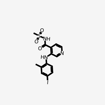 Cc1cc(I)ccc1Nc1cnccc1C(=O)NS(C)(=O)=O